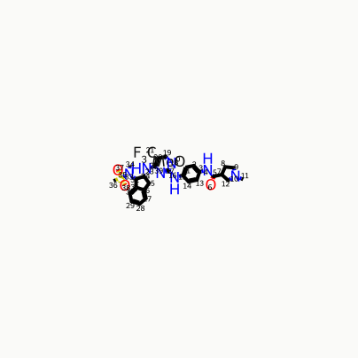 COc1cc(NC(=O)C2CCN(C)C2)ccc1Nc1ncc(C(F)(F)F)c(N[C@@H]2Cc3ccccc3C2N(C)S(C)(=O)=O)n1